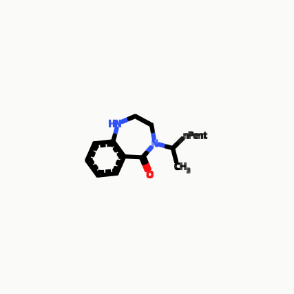 CCCCCC(C)N1CCNc2ccccc2C1=O